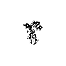 CCOC(=O)N1CCN(C(=O)C(CCC(=O)O)NC(=O)c2cc(OCC(=O)N3CCCC3C(=O)N(C)C3CCC3)c3ccc(C)cc3n2)CC1